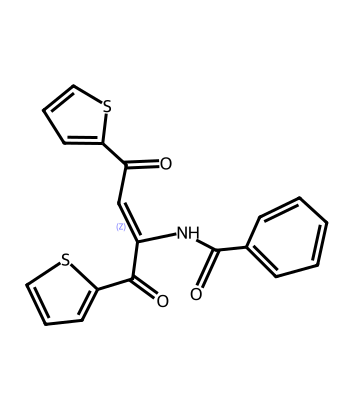 O=C(N/C(=C\C(=O)c1cccs1)C(=O)c1cccs1)c1ccccc1